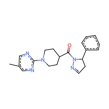 Cc1cnc(N2CCC(C(=O)N3N=CCC3c3ccccc3)CC2)nc1